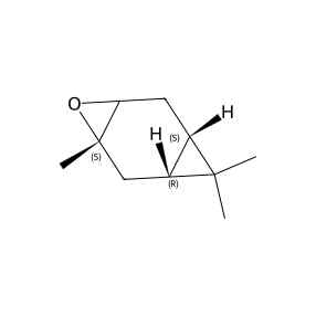 CC1(C)[C@@H]2C[C@]3(C)OC3C[C@@H]21